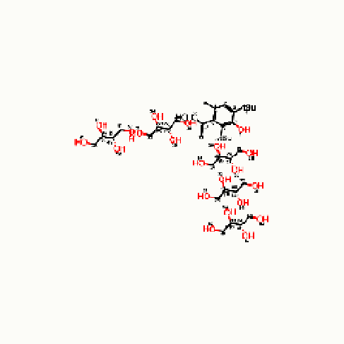 Cc1cc(C(C)(C)C)c(O)c(C(C)(C)C)c1C(C)C(=O)O.OC[C@@H](O)[C@@H](O)CO.OC[C@@H](O)[C@@H](O)CO.OC[C@@H](O)[C@@H](O)CO.OC[C@@H](O)[C@@H](O)CO.OC[C@@H](O)[C@@H](O)CO